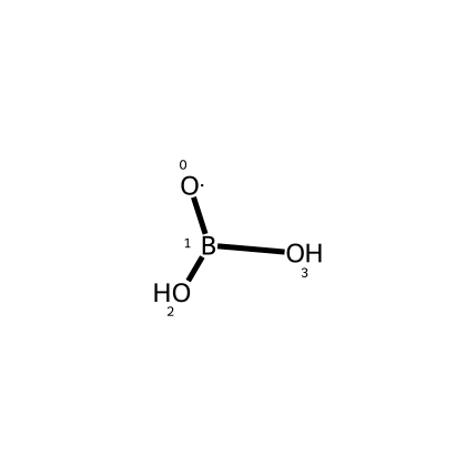 [O]B(O)O